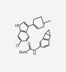 CN1CC=C(c2c[nH]c3cc(Cl)ccc23)CC1.CNC(=O)Nc1ccc2c(c1)C1CC21